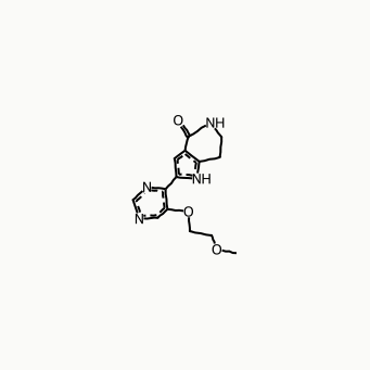 COCCOc1cncnc1-c1cc2c([nH]1)CCNC2=O